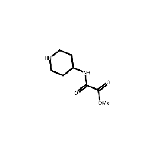 COC(=O)C(=O)NC1CCNCC1